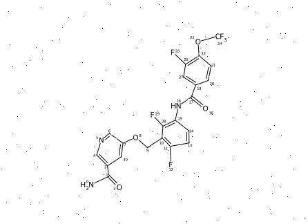 NC(=O)c1cncc(OCc2c(F)ccc(NC(=O)c3ccc(OC(F)(F)F)c(F)c3)c2F)c1